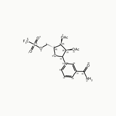 CC(=O)O[C@@H]1[C@@H](COS(=O)(=O)C(F)(F)F)OC([n+]2cccc(C(N)=O)c2)[C@@H]1OC(C)=O